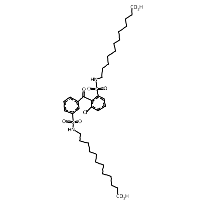 O=C(O)CCCCCCCCCCCNS(=O)(=O)c1cccc(C(=O)c2c(Cl)cccc2S(=O)(=O)NCCCCCCCCCCCC(=O)O)c1